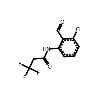 O=Cc1c(Cl)cccc1NC(=O)CC(F)(F)F